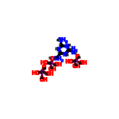 Nc1nc(N)nc(N)n1.O=P(O)(O)O.O=P(O)(O)O.O=P(O)(O)O